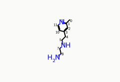 Cc1cc(CCNCCN)ccn1